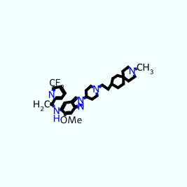 C=C(Nc1cc2cn(C3CCN(CCC4CCC5(CC4)CCN(C)CC5)CC3)nc2cc1OC)c1cccc(C(F)(F)F)n1